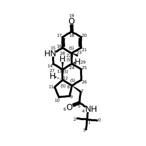 CC(C)(C)NC(=O)C[C@@]12CCC[C@H]1[C@@H]1CNC3=CC(=O)C=C[C@]3(C)[C@H]1CC2